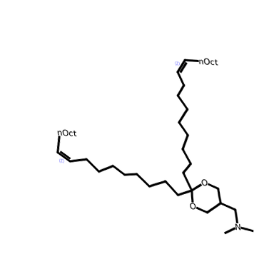 CCCCCCCC/C=C\CCCCCCCCC1(CCCCCCCC/C=C\CCCCCCCC)OCC(CN(C)C)CO1